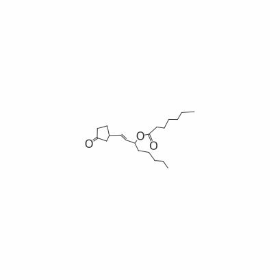 CCCCCCC(=O)OC(C=CC1CCC(=O)C1)CCCCC